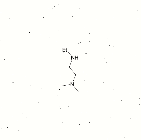 [CH2]CNCCN(C)C